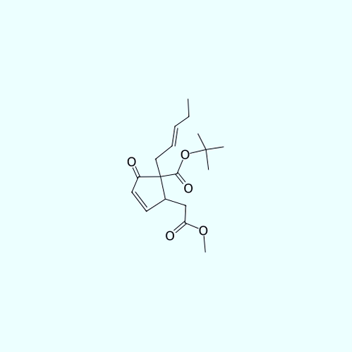 CCC=CCC1(C(=O)OC(C)(C)C)C(=O)C=CC1CC(=O)OC